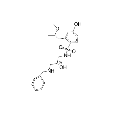 COC(C)Cc1cc(O)ccc1S(=O)(=O)NC[C@H](O)CNCc1ccccc1